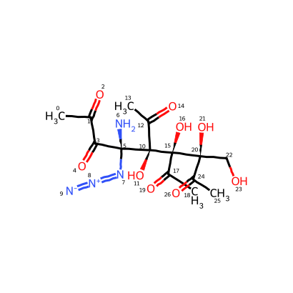 CC(=O)C(=O)[C@@](N)(N=[N+]=[N-])[C@](O)(C(C)=O)[C@@](O)(C(C)=O)[C@](O)(CO)C(C)=O